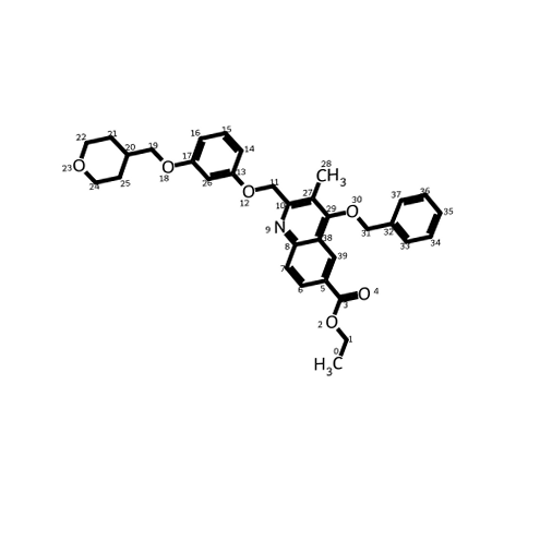 CCOC(=O)c1ccc2nc(COc3cccc(OCC4CCOCC4)c3)c(C)c(OCc3ccccc3)c2c1